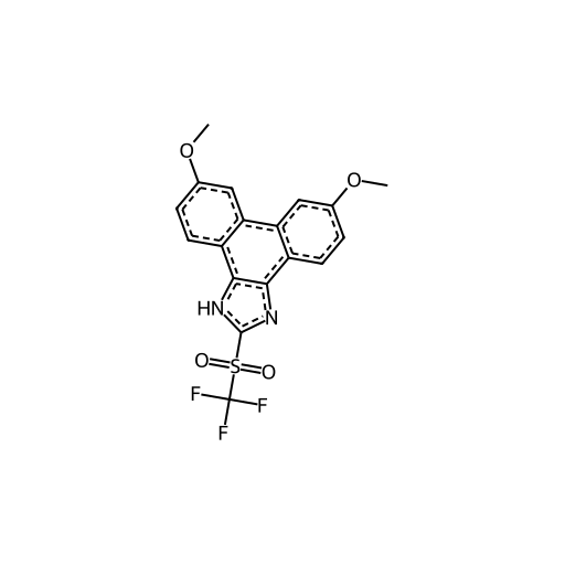 COc1ccc2c(c1)c1cc(OC)ccc1c1[nH]c(S(=O)(=O)C(F)(F)F)nc21